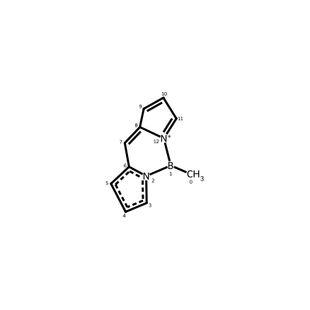 CB1n2cccc2C=C2C=CC=[N+]12